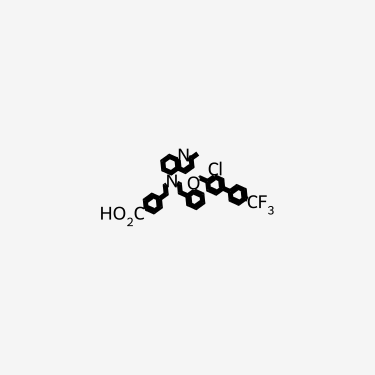 Cc1ccc2c(n1)CCC[C@@H]2N(CCc1ccc(C(=O)O)cc1)CCc1ccccc1OCc1ccc(-c2ccc(C(F)(F)F)cc2)cc1Cl